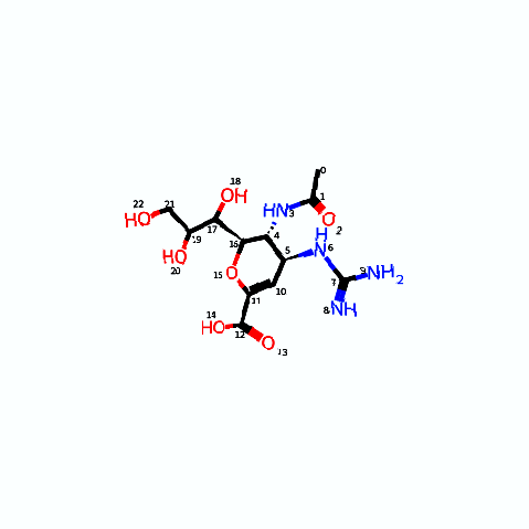 CC(=O)N[C@@H]1[C@@H](NC(=N)N)C=C(C(=O)O)O[C@H]1C(O)C(O)CO